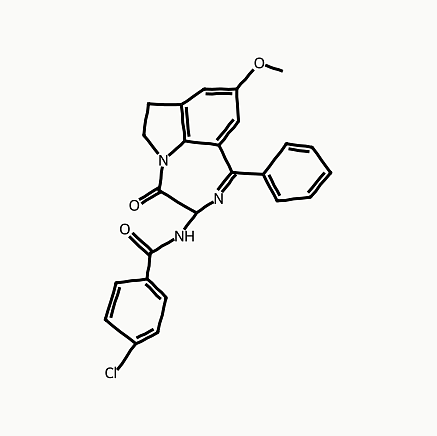 COc1cc2c3c(c1)C(c1ccccc1)=NC(NC(=O)c1ccc(Cl)cc1)C(=O)N3CC2